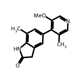 COc1cncc(C)c1-c1cc(C)c2c(c1)CC(=O)N2